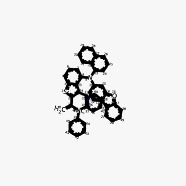 C=C(c1sc2cccc(N(c3ccc4c(c3)oc3ccccc34)c3cccc4ccccc34)c2c1/C=C\C)N(c1ccccc1)c1ccccc1